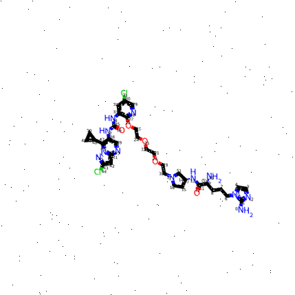 Nc1nccn1CCC[C@H](N)C(=O)N[C@@H]1CCN(CCOCCOCCOc2ncc(Cl)cc2NC(=O)Nc2cnc3cc(Cl)nn3c2C2CC2)C1